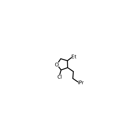 CCC1COC(Cl)C1CCC(C)C